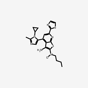 CCCC[S+]([O-])c1sc2nc(-c3nccs3)cc(-c3cnc(C)n3C3CC3)c2c1N